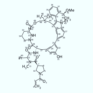 C=CC(=O)N1CC[C@H](C(=O)N(C)C(C(=O)N[C@H]2Cc3cc(O)cc(c3)-c3ccc4c(c3)c(c(-c3ccccc3[C@H](C)OC)n4CC)CC(C)(C)COC(=O)[C@@H]3CCCN(N3)C2=O)C(C)C)C1